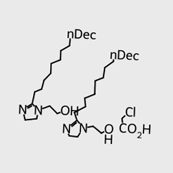 CCCCCCCCCCCCCCCCCCC1=NCCN1CCO.CCCCCCCCCCCCCCCCCCC1=NCCN1CCO.O=C(O)CCl